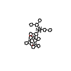 c1ccc(-c2ccc(-c3nc(-c4cc(-c5ccccc5)cc(-c5ccccc5)c4)nc(-c4cc(-c5ccccc5)c(-n5c6ccc(-n7c8ccccc8c8ccccc87)cc6c6c(-n7c8ccccc8c8ccccc87)cccc65)c(-c5ccccc5)c4)n3)cc2)cc1